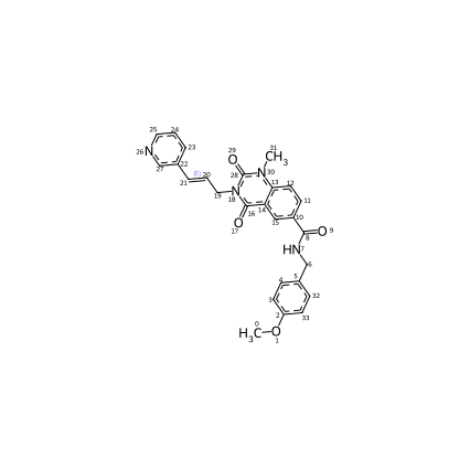 COc1ccc(CNC(=O)c2ccc3c(c2)c(=O)n(C/C=C/c2cccnc2)c(=O)n3C)cc1